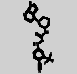 N#Cc1ccc(NCC(=O)NC2CCCN(c3ncnc4[nH]ccc34)C2)cc1C(F)(F)F